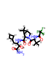 CC(C)(C)C(NC(=O)C(F)(F)F)C(=O)N1CC2C(C1C(=O)NC(CC1CCC1)C(=O)C(N)=O)C2(C)C